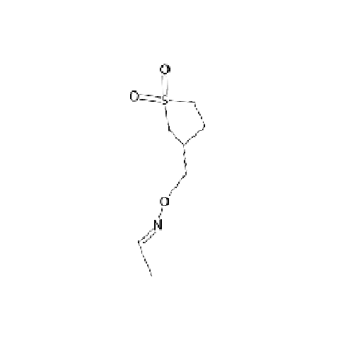 C/C=N/OCC1CCS(=O)(=O)C1